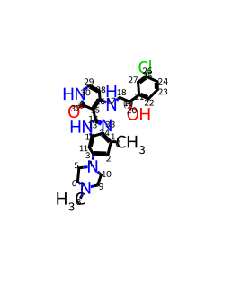 Cc1cc(N2CCN(C)CC2)cc2[nH]c(-c3c(NC[C@H](O)c4cccc(Cl)c4)cc[nH]c3=O)nc12